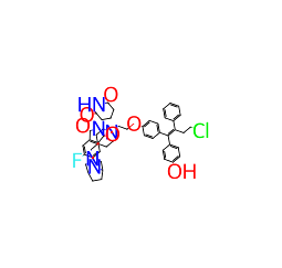 O=C1CCC(N2C(=O)c3cc(F)c(N4C5CCC4CN(CC4CCN(CCOc6ccc(C(=C(CCCl)c7ccccc7)c7ccc(O)cc7)cc6)CC4)C5)cc3C2=O)C(=O)N1